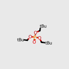 CC(C)(C)COP(=O)(OCC(C)(C)C)OCC(C)(C)C